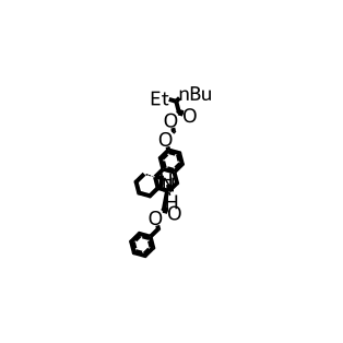 CCCCC(CC)C(=O)OCOc1ccc2c(c1)[C@]13CCCC[C@@H]1[C@H](C2)N(C(=O)OCc1ccccc1)CC3